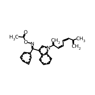 C=C(C)/C=C\C=C/C(=C)n1cc(/C(=N/OC(C)=O)c2ccccc2)c2ccccc21